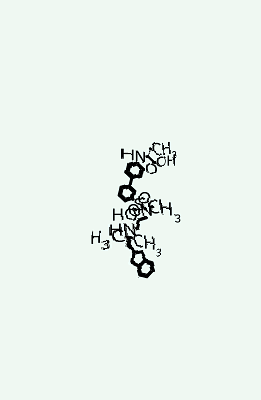 CC[C@@H](Nc1ccc(-c2cccc(S(=O)(=O)N(C)CC(O)CNC(C)(C)CC3Cc4ccccc4C3)c2)cc1)C(=O)O